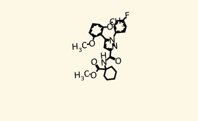 COC(=O)C1(NC(=O)c2cc(-c3c(OC)cccc3OC)n(-c3ccc(F)cc3)n2)CCCCC1